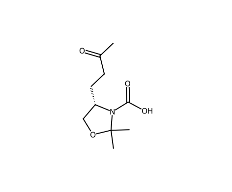 CC(=O)CC[C@H]1COC(C)(C)N1C(=O)O